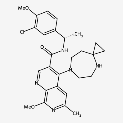 COc1ccc([C@H](C)NC(=O)c2cnc3c(OC)nc(C)cc3c2N2CCNC3(CC2)CC3)cc1Cl